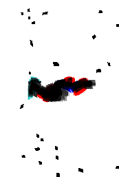 COc1ccc(C(=O)NCC(=O)OC(C)C)cc1C1=C(CN2C(=O)O[C@H](c3cc(C(F)(F)F)cc(C(F)(F)F)c3)[C@@H]2C)CC(C)(C)CC1